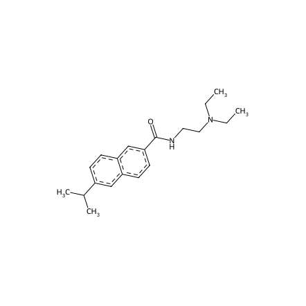 CCN(CC)CCNC(=O)c1ccc2cc(C(C)C)ccc2c1